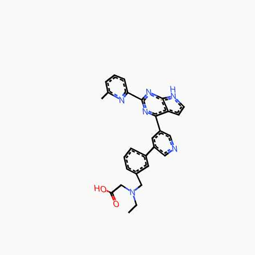 CCN(CC(=O)O)Cc1cccc(-c2cncc(-c3nc(-c4cccc(C)n4)nc4[nH]ccc34)c2)c1